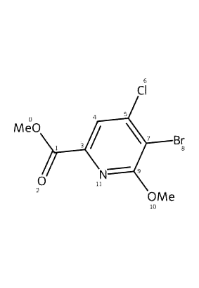 COC(=O)c1cc(Cl)c(Br)c(OC)n1